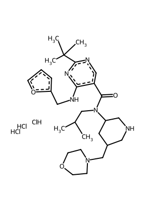 CC(C)CN(C(=O)c1cnc(C(C)(C)C)nc1NCc1ccco1)C1CNCC(CN2CCOCC2)C1.Cl.Cl.Cl